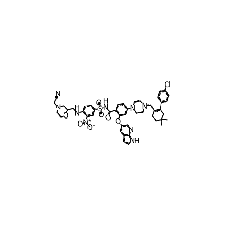 CC1(C)CCC(CN2CCN(c3ccc(C(=O)NS(=O)(=O)c4ccc(NCC5CN(CC#N)CCO5)c([N+](=O)[O-])c4)c(Oc4cnc5[nH]ccc5c4)c3)CC2)=C(c2ccc(Cl)cc2)C1